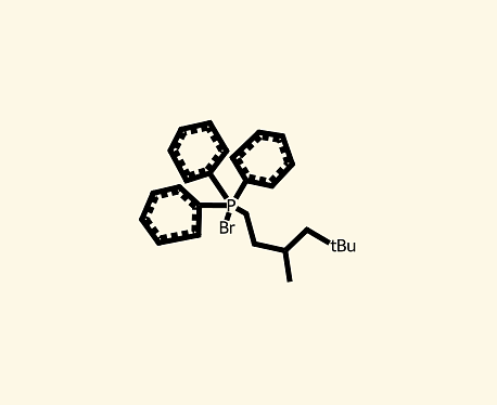 CC(CCP(Br)(c1ccccc1)(c1ccccc1)c1ccccc1)CC(C)(C)C